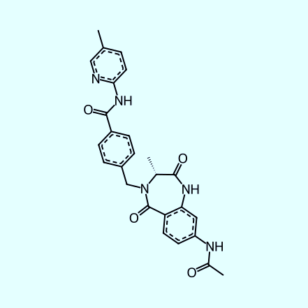 CC(=O)Nc1ccc2c(c1)NC(=O)[C@@H](C)N(Cc1ccc(C(=O)Nc3ccc(C)cn3)cc1)C2=O